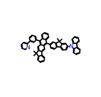 CC1(C)c2cc(-c3c4ccccc4c(-c4cccc(-c5ccccn5)c4)c4cc5c(cc34)-c3ccccc3C5(C)C)ccc2-c2ccc(-n3c4ccccc4c4ccccc43)cc21